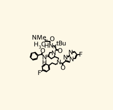 CN[C@@H](C)C(=O)N[C@H](C(=O)N1C[C@@H](NC(=O)c2ccccc2)CC1CN(CCc1ccc(F)cc1)C(=O)c1cn2cc(F)cnc2n1)C(C)(C)C